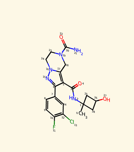 CC1(NC(=O)c2c(-c3ccc(F)c(Cl)c3)nn3c2CN(C(N)=O)CC3)CC(O)C1